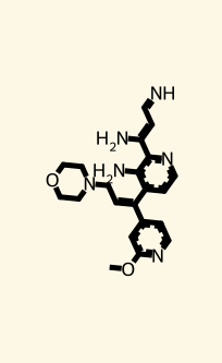 COc1cc(/C(=C/CN2CCOCC2)c2ccnc(/C(N)=C/C=N)c2N)ccn1